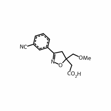 COCC1(CC(=O)O)CC(c2cccc(C#N)c2)=NO1